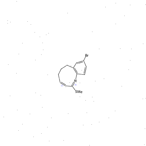 CSC1=N/c2ccc(Br)cc2CCC/C=C\1